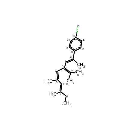 CC/C(C)=C/C(C)=C\C(/C=C(\C)c1ccc(F)cc1)=C(C)C